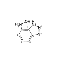 NO.c1ccc2[nH]nnc2c1